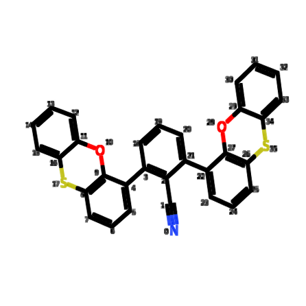 N#Cc1c(-c2cccc3c2Oc2ccccc2S3)cccc1-c1cccc2c1Oc1ccccc1S2